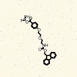 O=C(NCCOCCOc1ccc(C(=O)OP(F)P)cc1)OCC1c2ccccc2-c2ccccc21